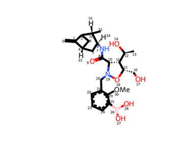 C=C1C2C[C@@H]1C[C@H](NC(=O)C1[C@H]([C@H](C)O)[C@H](CO)ON1Cc1cccc(B(O)O)c1OC)[C@H]2C